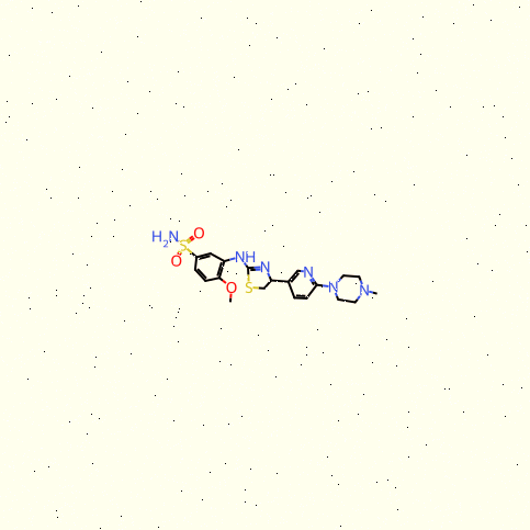 COc1ccc(S(N)(=O)=O)cc1NC1=NC(c2ccc(N3CCN(C)CC3)nc2)CS1